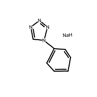 [NaH].c1ccc(-n2cnnn2)cc1